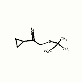 CC(C)(C)SCC(=O)C1CC1